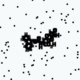 O=C1CC(OC(=O)C[C@H](NC(=O)OCC2c3ccccc3-c3ccccc32)C(=O)O)C(=O)N1